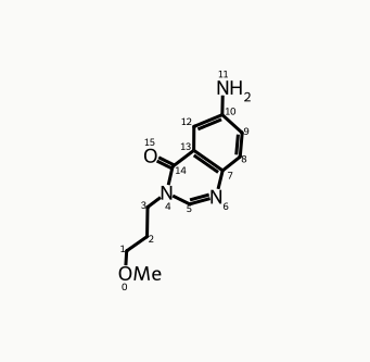 COCCCn1cnc2ccc(N)cc2c1=O